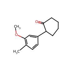 COc1cc(C2CCCCC2=O)ccc1C